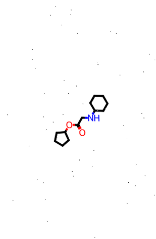 O=C(CNC1CCCCC1)OC1CCCC1